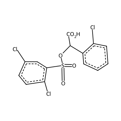 O=C(O)C(OS(=O)(=O)c1cc(Cl)ccc1Cl)c1ccccc1Cl